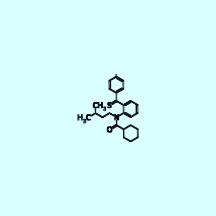 CC(C)CCN(C(=O)C1CCCCC1)c1ccccc1C(=S)c1cc[c]cc1